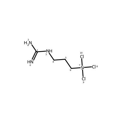 N=C(N)NCCC[Si](Cl)(Cl)Cl